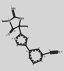 CN1C(=N)NC(C)(c2cc(-c3cccc(C#N)c3)cs2)C1=O